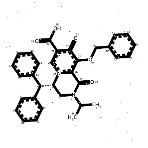 CC(C)N1C[C@H](C(c2ccccc2)c2ccccc2)n2cc(C(=O)O)c(=O)c(OCc3ccccc3)c2C1=O